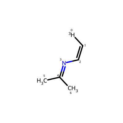 [3H]/C=C\N=C(C)C